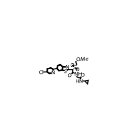 COCCS(=O)(=O)C(C(=O)NCC(=O)NC1CC1)c1nc2ccc(-c3ccc(Cl)cn3)cc2s1